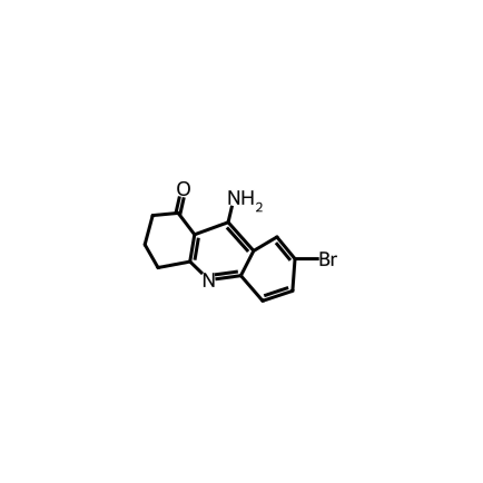 Nc1c2c(nc3ccc(Br)cc13)CCCC2=O